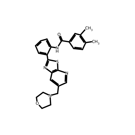 Cc1ccc(C(=O)Nc2ccccc2-c2nc3cc(CN4CCOCC4)cnc3s2)cc1C